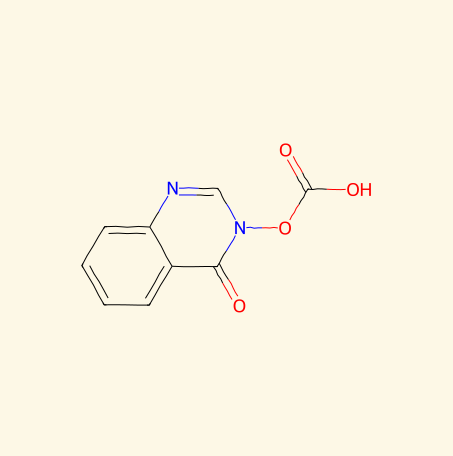 O=C(O)On1cnc2ccccc2c1=O